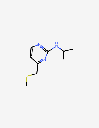 CSCc1ccnc(NC(C)C)n1